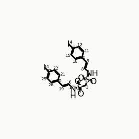 O=S(=O)(CS(=O)(=O)NC=Cc1ccc(I)cc1)NC=Cc1ccc(I)cc1